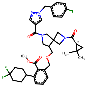 CC(C)(C)OC(=O)c1c(COCC2CN(C(=O)c3cnn(Cc4ccc(F)cc4)c3)CC23CN(C(=O)[C@H]2CC2(C)C)C3)cccc1C1CCC(F)(F)CC1